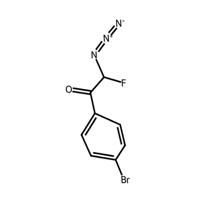 [N-]=[N+]=NC(F)C(=O)c1ccc(Br)cc1